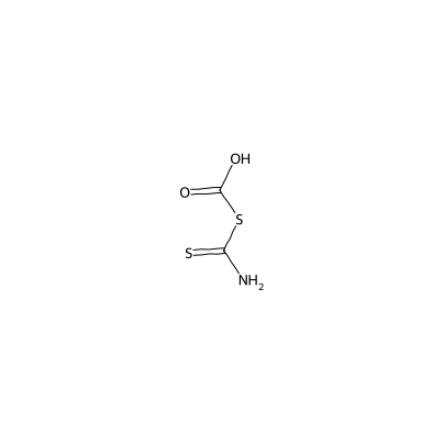 NC(=S)SC(=O)O